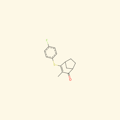 CC1=C(Sc2ccc(F)cc2)C2CCC(C2)C1=O